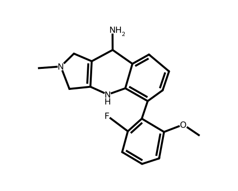 COc1cccc(F)c1-c1cccc2c1NC1=C(CN(C)C1)C2N